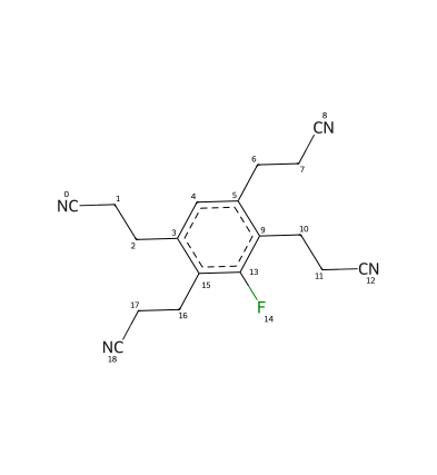 N#CCCc1cc(CCC#N)c(CCC#N)c(F)c1CCC#N